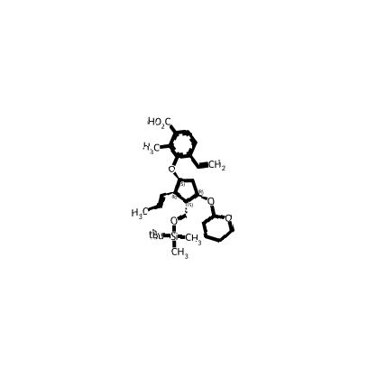 C=Cc1ccc(C(=O)O)c(C)c1O[C@H]1C[C@@H](OC2CCCCO2)[C@H](CO[Si](C)(C)C(C)(C)C)[C@H]1C=CC